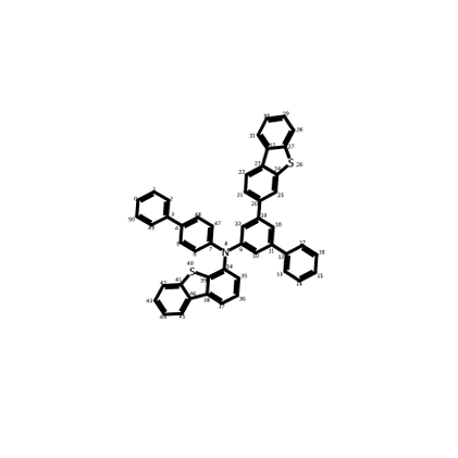 c1ccc(-c2ccc(N(c3cc(-c4ccccc4)cc(-c4ccc5c(c4)sc4ccccc45)c3)c3cccc4c3sc3ccccc34)cc2)cc1